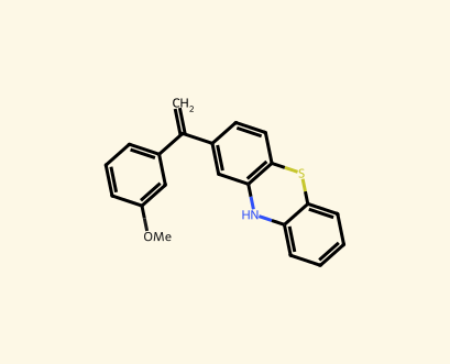 C=C(c1cccc(OC)c1)c1ccc2c(c1)Nc1ccccc1S2